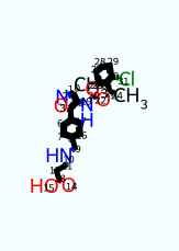 Cc1noc(-c2ccc(CNCCC(=O)O)cc2)c1NC(=O)OC(C)c1ccccc1Cl